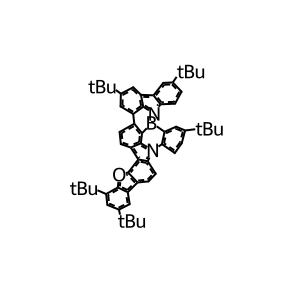 CC(C)(C)c1ccc2c(c1)B1c3c(ccc4c5c6oc7c(C(C)(C)C)cc(C(C)(C)C)cc7c6ccc5n-2c34)-c2cc(C(C)(C)C)cc3c4cc(C(C)(C)C)ccc4n1c23